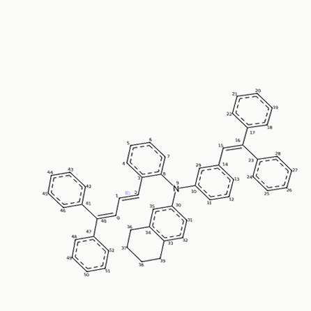 C(/C=C/c1ccccc1N(c1cccc(C=C(c2ccccc2)c2ccccc2)c1)c1ccc2c(c1)CCCC2)=C(c1ccccc1)c1ccccc1